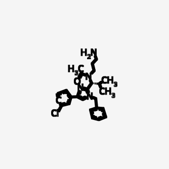 CC(=O)N(CCCN)[C@@H](c1nc(-c2cccc(Cl)c2)cn1Cc1ccccc1)C(C)C